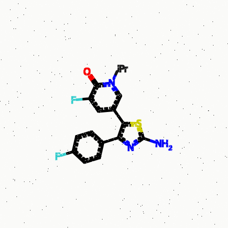 CC(C)n1cc(-c2sc(N)nc2-c2ccc(F)cc2)cc(F)c1=O